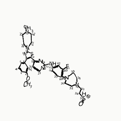 COc1cccc(-c2nc(N3CCN(C)CC3)sc2-c2ccnc(Nc3ccc(N4CCN(CC[SH](=O)=O)CC4)c(F)c3)n2)c1